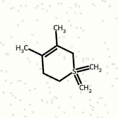 C=S1(=C)CCC(C)=C(C)C1